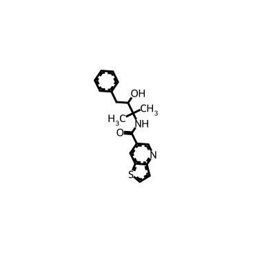 CC(C)(NC(=O)c1cnc2ccsc2c1)C(O)Cc1ccccc1